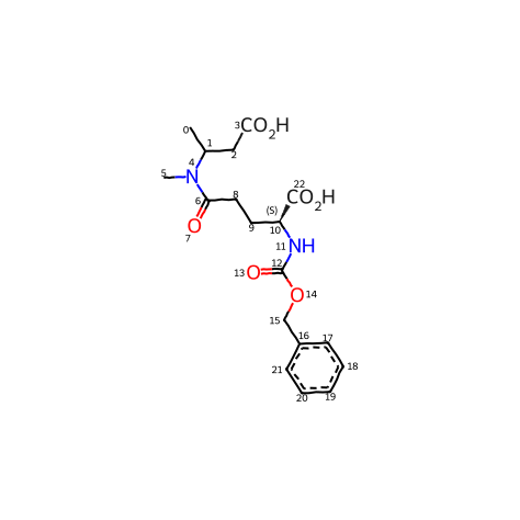 CC(CC(=O)O)N(C)C(=O)CC[C@H](NC(=O)OCc1ccccc1)C(=O)O